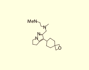 CNCCN(C)Cc1nn2c(c1C1CCC3(CC1)COC3)CCC2